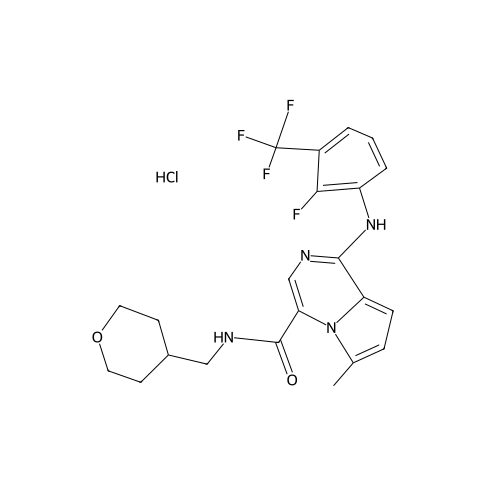 Cc1ccc2c(Nc3cccc(C(F)(F)F)c3F)ncc(C(=O)NCC3CCOCC3)n12.Cl